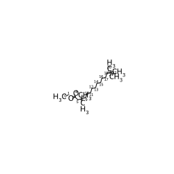 CCOC(=O)CC(C)(C)CCCCCCCCCCC(C)(C)C